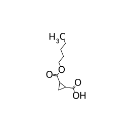 CCCCCOC(=O)C1CC1C(=O)O